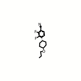 CCCO[C@H]1CC[C@H](c2ccc(C#N)c(F)c2F)CC1